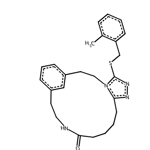 Cc1ccccc1CSc1nnc2n1CCc1cccc(c1)CCNC(=O)CCCC2